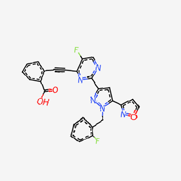 O=C(O)c1ccccc1C#Cc1nc(-c2cc(-c3ccon3)n(Cc3ccccc3F)n2)ncc1F